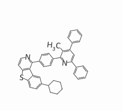 Cc1c(-c2ccccc2)cc(-c2ccccc2)nc1-c1ccc(-c2nccc3sc4ccc(C5CCCCC5)cc4c23)cc1